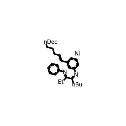 CCCCCCCCCCCCCC=Cc1cccc(N=C(CCCC)C(CC)=Nc2ccccc2)c1.[Ni]